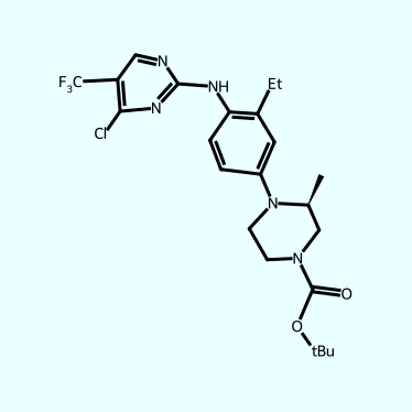 CCc1cc(N2CCN(C(=O)OC(C)(C)C)C[C@@H]2C)ccc1Nc1ncc(C(F)(F)F)c(Cl)n1